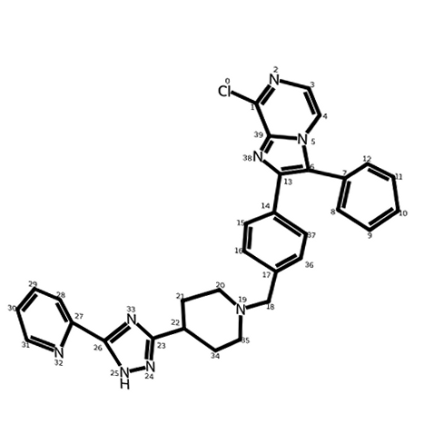 Clc1nccn2c(-c3ccccc3)c(-c3ccc(CN4CCC(c5n[nH]c(-c6ccccn6)n5)CC4)cc3)nc12